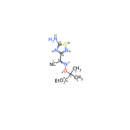 CCOC(=O)C(C)(C)ON=C(C#N)c1nsc(N)n1